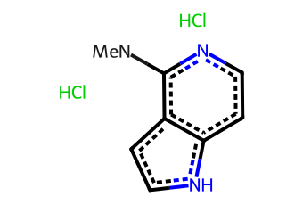 CNc1nccc2[nH]ccc12.Cl.Cl